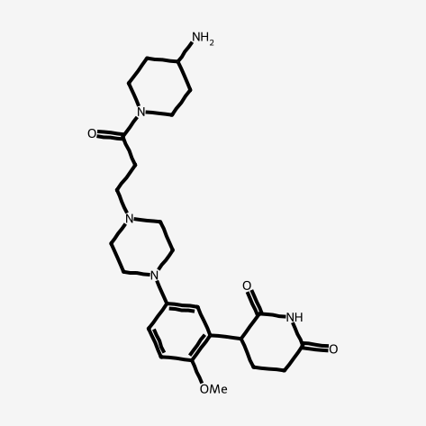 COc1ccc(N2CCN(CCC(=O)N3CCC(N)CC3)CC2)cc1C1CCC(=O)NC1=O